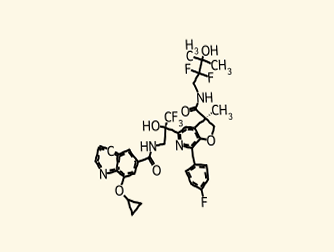 CC(C)(O)C(F)(F)CNC(=O)[C@@]1(C)COc2c1cc([C@@](O)(CNC(=O)c1cc(OC3CC3)c3ncccc3c1)C(F)(F)F)nc2-c1ccc(F)cc1